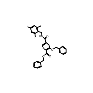 O=C(NCc1c(F)cc(F)cc1F)C1=COC(C(=O)OCc2ccccc2)=C(OCc2ccccc2)C1